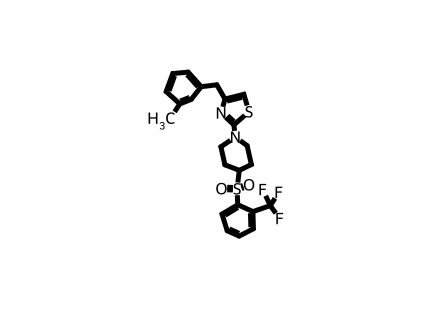 Cc1cccc(Cc2csc(N3CCC(S(=O)(=O)c4ccccc4C(F)(F)F)CC3)n2)c1